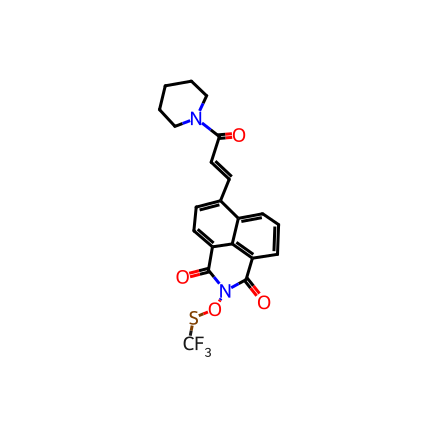 O=C(/C=C/c1ccc2c3c(cccc13)C(=O)N(OSC(F)(F)F)C2=O)N1CCCCC1